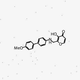 COc1ccc(-c2ccc(NCc3occc(=O)c3O)cc2)cc1